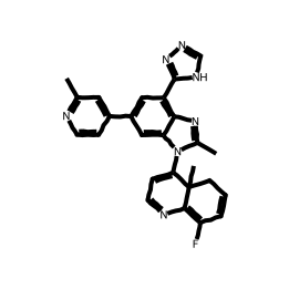 Cc1cc(-c2cc(-c3nnc[nH]3)c3nc(C)n(C4=CC=NC5=C(F)C=CCC45C)c3c2)ccn1